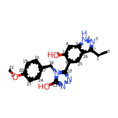 CCc1n[nH]c2cc(O)c(-c3nnc(O)n3Cc3ccc(OC)cc3)cc12